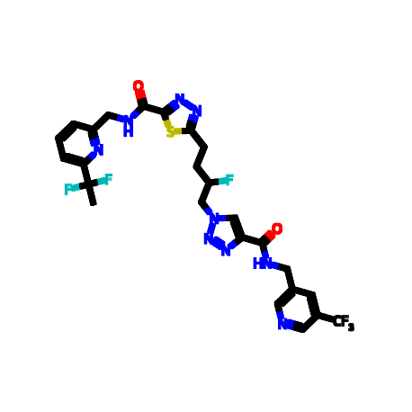 CC(F)(F)c1cccc(CNC(=O)c2nnc(CCC(F)Cn3cc(C(=O)NCc4cncc(C(F)(F)F)c4)nn3)s2)n1